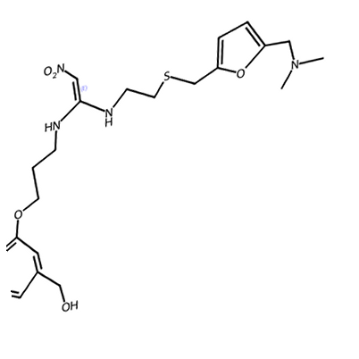 CN(C)Cc1ccc(CSCCN/C(=C/[N+](=O)[O-])NCCCOc2cccc(CO)c2)o1